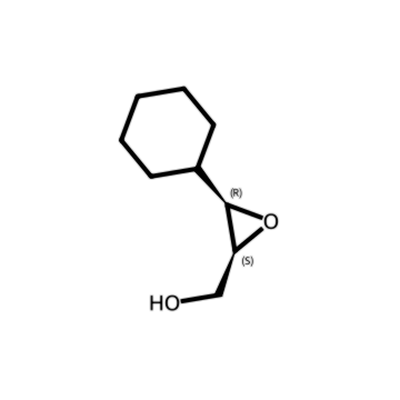 OC[C@@H]1O[C@@H]1C1CCCCC1